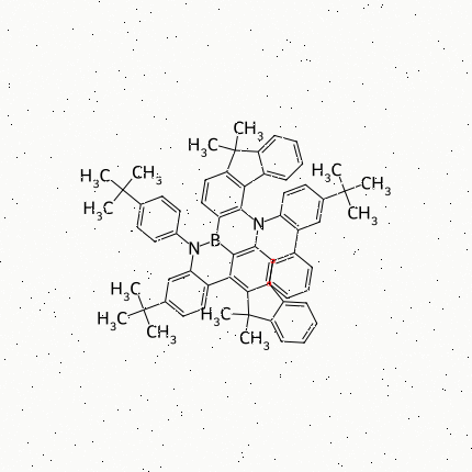 CC(C)(C)c1ccc(N2B3c4ccc5c(c4N(c4ccc(C(C)(C)C)cc4-c4ccccc4)c4cc6c(c(c43)-c3ccc(C(C)(C)C)cc32)C(C)(C)c2ccccc2-6)-c2ccccc2C5(C)C)cc1